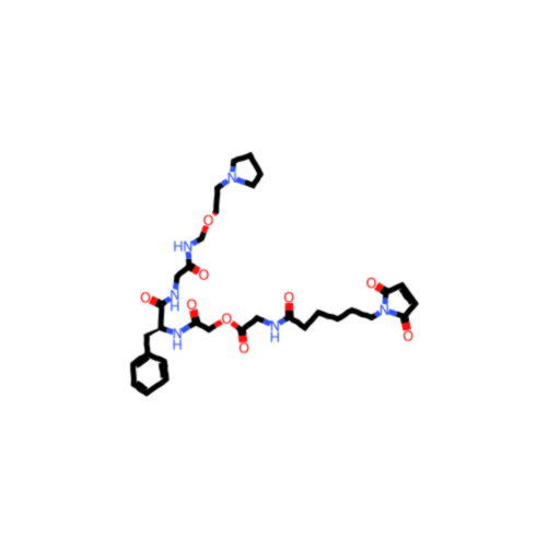 O=C(CCCCCN1C(=O)C=CC1=O)NCC(=O)OCC(=O)N[C@@H](Cc1ccccc1)C(=O)NCC(=O)NCOCCN1CCCC1